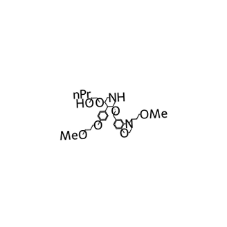 CCCC(O)CO[C@@H]1CNC[C@H](OCc2ccc3c(c2)N(CCCOC)CCO3)C1c1ccc(OCCCOC)cc1